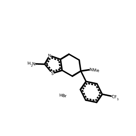 Br.CNC1(c2cccc(C(F)(F)F)c2)CCc2nc(N)sc2C1